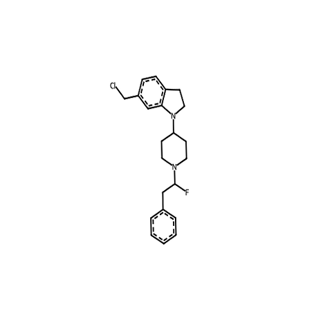 FC(Cc1ccccc1)N1CCC(N2CCc3ccc(CCl)cc32)CC1